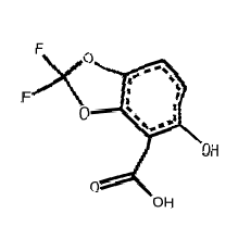 O=C(O)c1c(O)ccc2c1OC(F)(F)O2